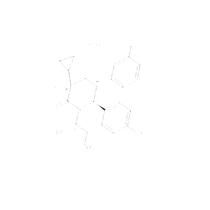 CC[C@@H](CO)N1C(=O)[C@@](C)(C2CC2C(=O)O)C[C@H](c2cccc(Cl)c2)[C@H]1c1ccc(Cl)cc1